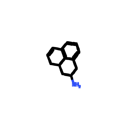 NC1Cc2cccc3c2C(CC=C3)C1